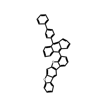 c1ccc(-c2ccc(-c3c4ccccc4c(-c4cccc5c4oc4cc6oc7ccccc7c6cc45)c4ccccc34)cc2)cc1